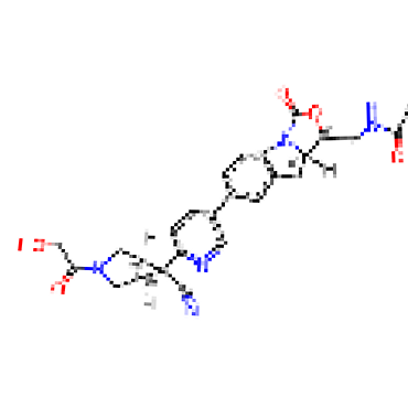 CC(=O)NC[C@@H]1OC(=O)N2c3ccc(-c4ccc(C5(C#N)[C@@H]6CN(C(=O)CO)C[C@@H]65)nc4)cc3C[C@@H]12